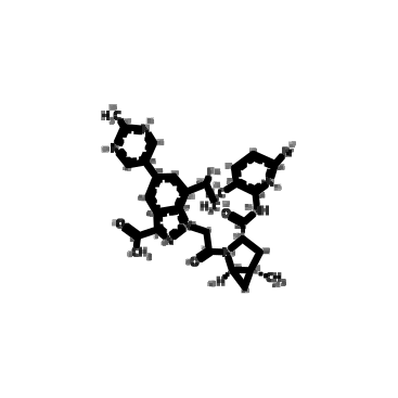 CC(=O)c1nn(CC(=O)N2[C@H](C(=O)Nc3nc(Br)ccc3C)C[C@@]3(C)C[C@@H]23)c2c(C(C)F)cc(-c3cnc(C)nc3)cc12